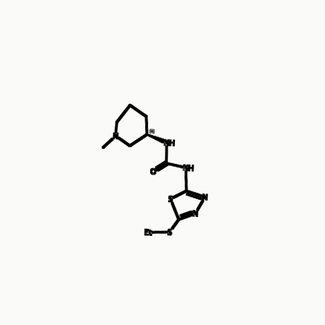 CCSc1nnc(NC(=O)N[C@@H]2CCCN(C)C2)s1